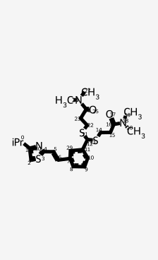 CC(C)c1csc(C=Cc2cccc(C(SCCC(=O)N(C)C)SCCC(=O)N(C)C)c2)n1